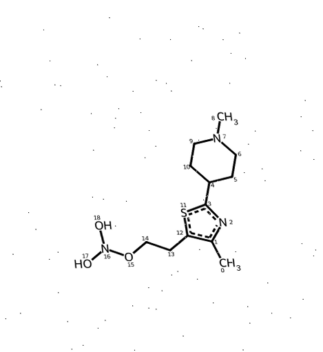 Cc1nc(C2CCN(C)CC2)sc1CCON(O)O